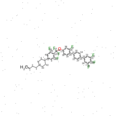 C=CCCC1CCC(c2cc(F)c(C(F)(F)Oc3ccc(-c4ccc(-c5cc(F)c(F)c(F)c5)cc4)c(F)c3)c(F)c2)CC1